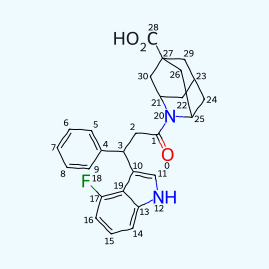 O=C(CC(c1ccccc1)c1c[nH]c2cccc(F)c12)N1C2CC3CC1CC(C(=O)O)(C3)C2